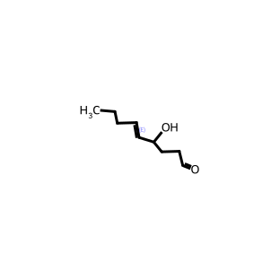 CCC/C=C/C(O)CCC=O